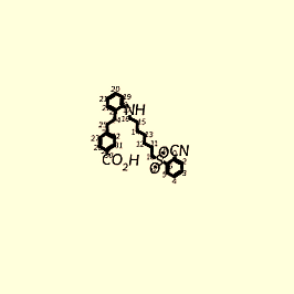 N#Cc1ccccc1S(=O)(=O)CCCCCCCNc1ccccc1CCc1ccc(C(=O)O)cc1